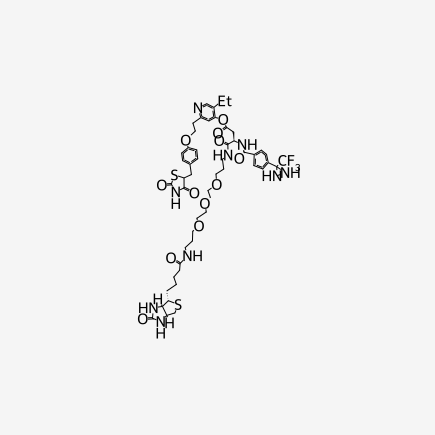 CCc1cnc(CCOc2ccc(CC3SC(=O)NC3=O)cc2)cc1OC(=O)C[C@@H](NC(=O)c1ccc(C2(C(F)(F)F)NN2)cc1)C(=O)NCCCOCCOCCOCCCNC(=O)CCCC[C@@H]1SC[C@@H]2NC(=O)N[C@@H]21